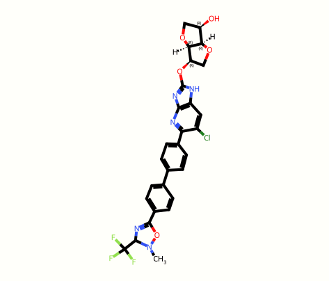 CN1OC(c2ccc(-c3ccc(-c4nc5nc(O[C@@H]6CO[C@H]7[C@@H]6OC[C@H]7O)[nH]c5cc4Cl)cc3)cc2)=NC1C(F)(F)F